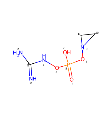 N=C(N)NOP(=O)(O)ON1CC1